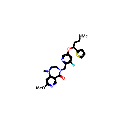 CNCCC(Oc1cnc(CN2CCN(C)c3cc(OC)ncc3C2=O)c(F)c1)c1cccs1